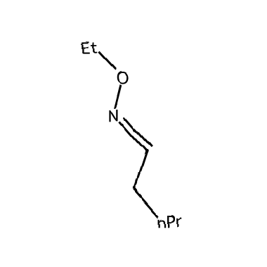 [CH2]CON=CCCCC